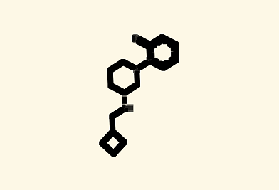 O=c1ccccn1N1CCC[C@@H](NCC2CCC2)C1